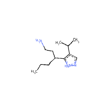 CCCC(CCN)c1[nH]ncc1C(C)C